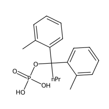 CCCC(OP(=O)(O)O)(c1ccccc1C)c1ccccc1C